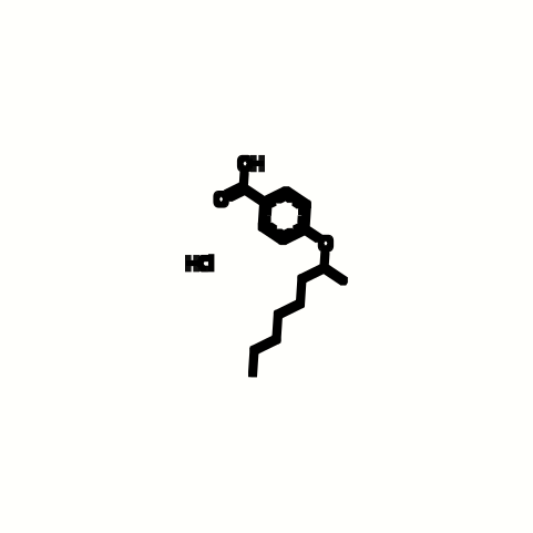 CCCCCCC(C)Oc1ccc(C(=O)O)cc1.Cl